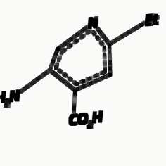 CCc1cc(C(=O)O)c(N)cn1